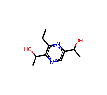 CCc1nc(C(C)O)cnc1C(C)O